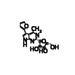 Cc1nc([C@@H]2O[C@H](CO)[C@@H](O)[C@H]2O)nc2[nH]cc(-c3ccco3)c12